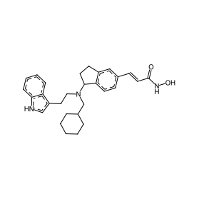 O=C(C=Cc1ccc2c(c1)CCC2N(CCc1c[nH]c2ccccc12)CC1CCCCC1)NO